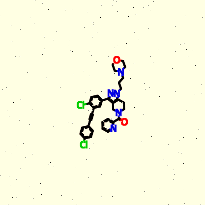 O=C(c1ccccn1)N1CCc2c(c(-c3ccc(Cl)c(C#Cc4ccc(Cl)cc4)c3)nn2CCCN2CCOCC2)C1